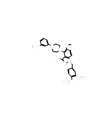 CCc1nn(Cc2ccc(OC)c(OC)c2)c2cc3c(c(N4CCN(c5cccc(C(F)(F)F)c5)CC4)c12)OCO3